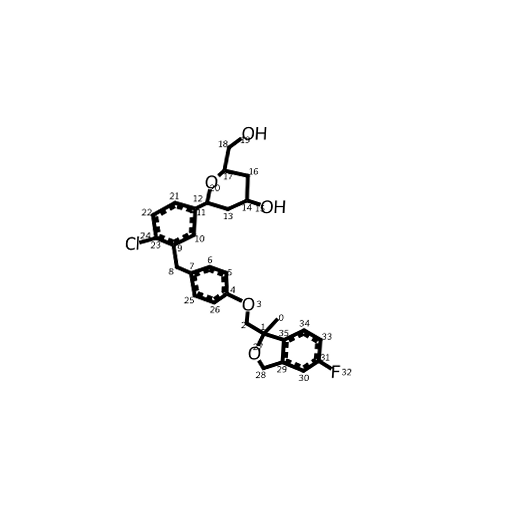 CC1(COc2ccc(Cc3cc(C4CC(O)CC(CO)O4)ccc3Cl)cc2)OCc2cc(F)ccc21